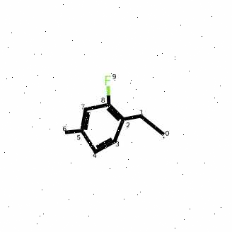 [CH2]Cc1ccc(C)cc1F